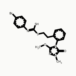 COc1nn(C)c(=O)n1-c1ccccc1CCSC(S)=Nc1ccc(Br)cc1